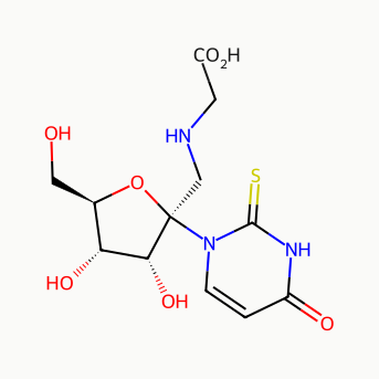 O=C(O)CNC[C@@]1(n2ccc(=O)[nH]c2=S)O[C@H](CO)[C@@H](O)[C@H]1O